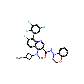 COC1CC(N(C)c2c(C(=O)NN3CCOc4ccccc43)cnc3c(-c4cc(F)cc(F)c4F)c(F)ccc23)C1